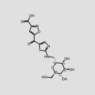 O=C(O)c1cc(C(=O)c2cnc(NC[C@H]3O[C@H](CO)[C@@H](O)[C@H](O)[C@@H]3O)s2)on1